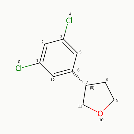 Clc1cc(Cl)cc([C@@H]2CCOC2)c1